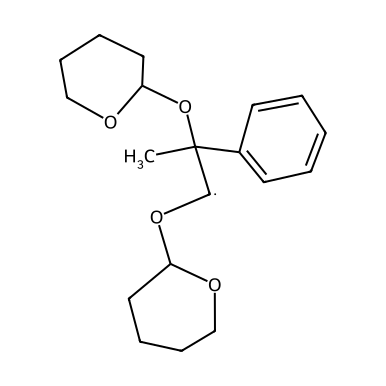 CC([CH]OC1CCCCO1)(OC1CCCCO1)c1ccccc1